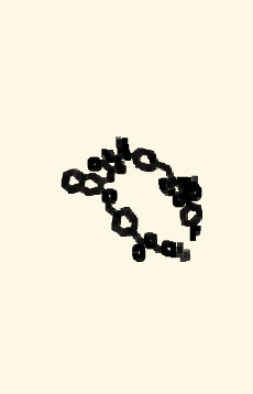 CCOC(=O)c1ccc(COc2cc3ccccc3cc2/C=C2/SC(Nc3ccc(CC(=O)NS(=O)(=O)c4ccc(F)cc4)cc3)=NC2=O)cc1